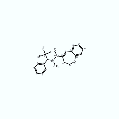 CN(C(c1ccccc1)C(F)(F)F)[S+]([O-])C1=Cc2ccccc2OCC1